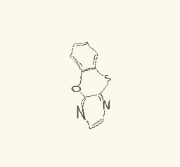 c1ccc2c(c1)Oc1nccnc1S2